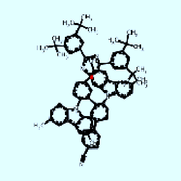 Cc1ccc2c(c1)c1cc(C)ccc1n2-c1ccc(-c2ccc(C#N)cc2)cc1-c1cc(-c2nc(-c3cc(C(C)(C)C)cc(C(C)(C)C)c3)nc(-c3cc(C(C)(C)C)cc(C(C)(C)C)c3)n2)ccc1-n1c2ccc(C)cc2c2cc(C)ccc21